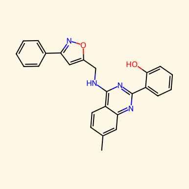 Cc1ccc2c(NCc3cc(-c4ccccc4)no3)nc(-c3ccccc3O)nc2c1